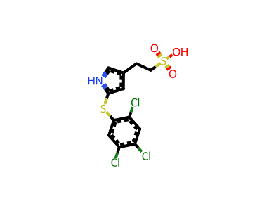 O=S(=O)(O)CCc1c[nH]c(Sc2cc(Cl)c(Cl)cc2Cl)c1